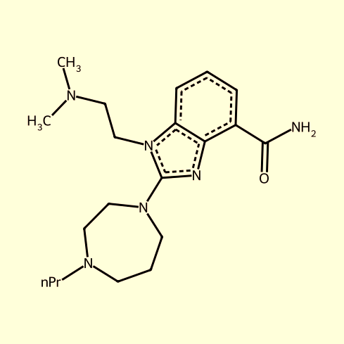 CCCN1CCCN(c2nc3c(C(N)=O)cccc3n2CCN(C)C)CC1